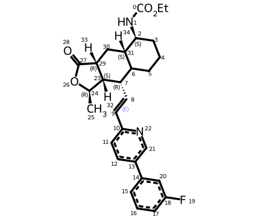 CCOC(=O)N[C@H]1CCCC2[C@H](/C=C/c3ccc(-c4cccc(F)c4)cn3)[C@@H]3[C@@H](C)OC(=O)[C@@H]3C[C@@H]21